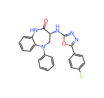 O=C1Nc2ccccc2N(c2ccccc2)C[C@@H]1Nc1nnc(-c2ccc(F)cc2)o1